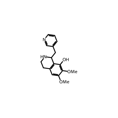 COc1cc2c(c(O)c1OC)C(Cc1cccnc1)NCC2